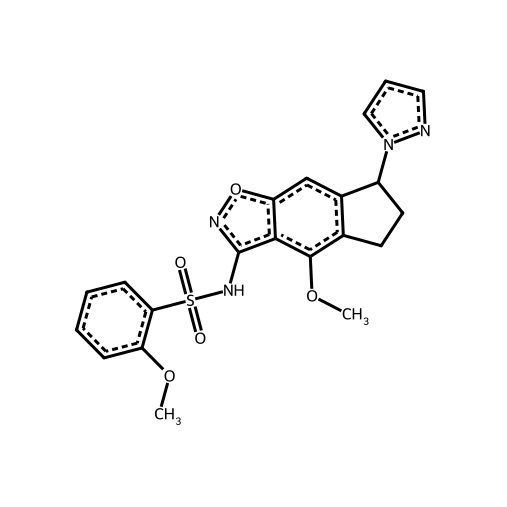 COc1ccccc1S(=O)(=O)Nc1noc2cc3c(c(OC)c12)CCC3n1cccn1